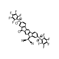 N#CC(C#N)=C1c2cc(S(=O)(=O)c3c(F)c(F)c(F)c(F)c3F)ccc2-c2cc3c(cc21)C(=O)c1cc(S(=O)(=O)c2c(F)c(F)c(F)c(F)c2F)ccc1-3